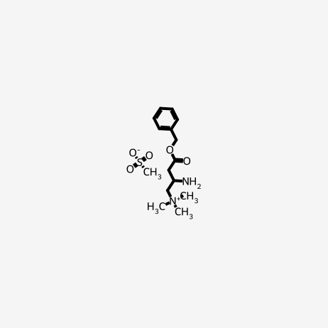 CS(=O)(=O)[O-].C[N+](C)(C)CC(N)CC(=O)OCc1ccccc1